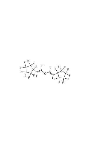 FC(OC(F)=C(F)C1(F)C(F)(F)C(F)(F)C(F)(F)C1(F)F)=C(F)C1(F)C(F)(F)C(F)(F)C(F)(F)C1(F)F